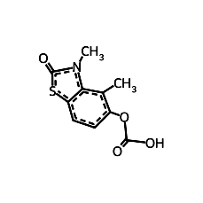 Cc1c(OC(=O)O)ccc2sc(=O)n(C)c12